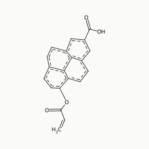 C=CC(=O)Oc1ccc2ccc3cc(C(=O)O)cc4ccc1c2c34